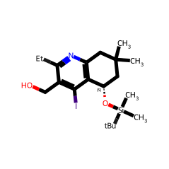 CCc1nc2c(c(I)c1CO)[C@@H](O[Si](C)(C)C(C)(C)C)CC(C)(C)C2